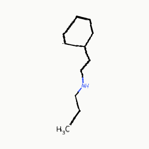 CCCNCCC1[CH]CCCC1